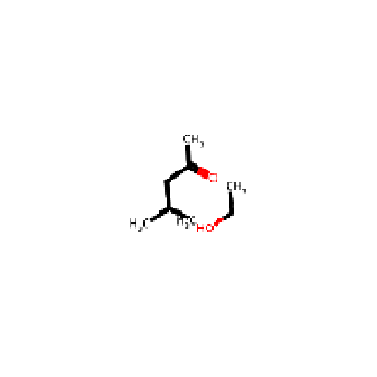 CC(=O)CC(C)C.CCO